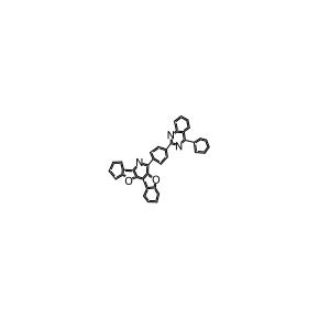 c1ccc(-c2nc(-c3ccc(-c4nc5c6ccccc6oc5c5c4oc4ccccc45)cc3)nc3ccccc23)cc1